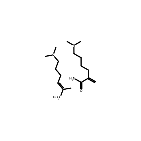 C=C(CCCCN(C)C)C(N)=O.CC(=CCCCN(C)C)C(=O)O